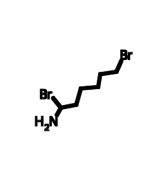 NC(Br)CCCCCBr